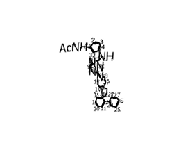 CC(=O)Nc1cccc(Nc2ncnc(N3CCC(Oc4ccccc4-c4ccccc4)CC3)n2)c1